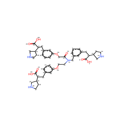 O=C(O)C(Cc1cccc(CN(CCOc2cccc(CC(C(=O)O)C3CCNC3)c2)C(=O)COc2cccc(CC(C(=O)O)C3CCNC3)c2)c1)C1CCNC1